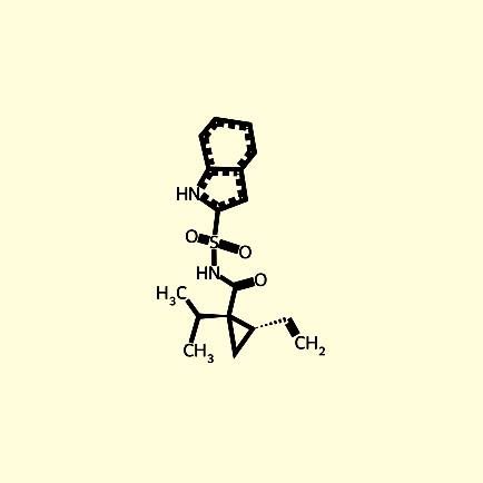 C=C[C@@H]1C[C@@]1(C(=O)NS(=O)(=O)c1cc2ccccc2[nH]1)C(C)C